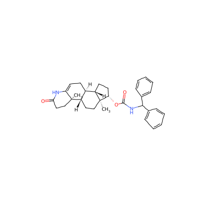 C[C@]12CC[C@H]3[C@@H](CC=C4NC(=O)CC[C@@]43C)[C@@H]1CC[C@@H]2OC(=O)NC(c1ccccc1)c1ccccc1